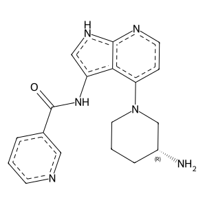 N[C@@H]1CCCN(c2ccnc3[nH]cc(NC(=O)c4cccnc4)c23)C1